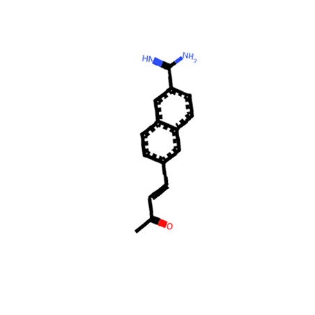 CC(=O)C=Cc1ccc2cc(C(=N)N)ccc2c1